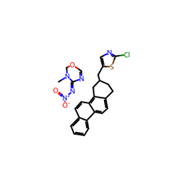 CN1COC=NC1=N[N+](=O)[O-].Clc1ncc(CC2CCc3ccc4c(ccc5ccccc54)c3C2)s1